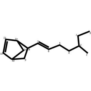 CCC(C)CCC=CC1CC2C=CC1C2